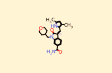 Cc1cc(C)c(/C=C2\C(=O)N(CC3CCOCC3)c3cc(C(N)=O)ccc32)[nH]1